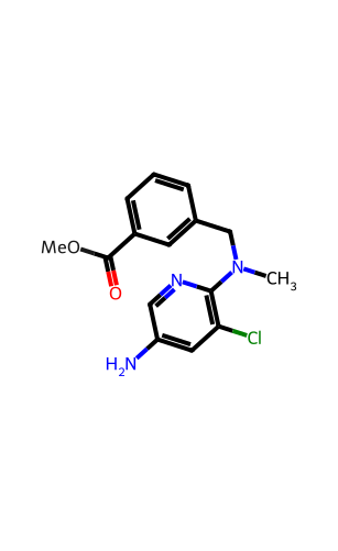 COC(=O)c1cccc(CN(C)c2ncc(N)cc2Cl)c1